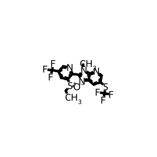 CC[S+]([O-])c1cc(C(F)(F)F)cnc1-c1nc2cc(SC(F)(F)F)cnc2n1C